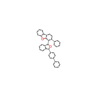 c1ccc(-c2ccc(-c3oc(-c4c(-c5ccccc5)ccc5c4oc4ccccc45)c4ccccc34)cc2)cc1